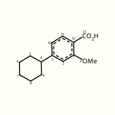 COc1cc(C2CCCCC2)ccc1C(=O)O